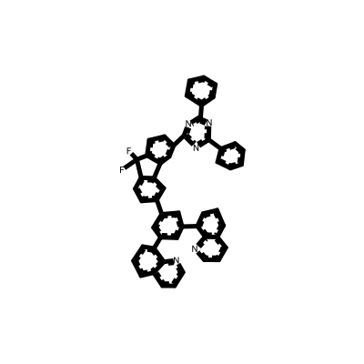 FC1(F)c2ccc(-c3cc(-c4cccc5cccnc45)cc(-c4cccc5cccnc45)c3)cc2-c2cc(-c3nc(-c4ccccc4)nc(-c4ccccc4)n3)ccc21